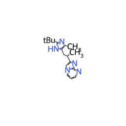 Cc1nc(C(C)(C)C)[nH]c1CC(C)c1cn2cccnc2n1